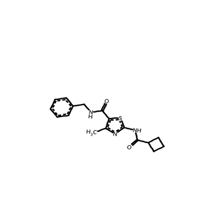 Cc1nc(NC(=O)C2CCC2)sc1C(=O)NCc1ccccc1